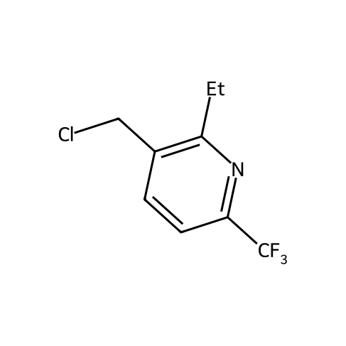 [CH2]Cc1nc(C(F)(F)F)ccc1CCl